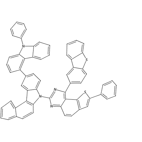 c1ccc(-c2cc3ccc4nc(-n5c6ccc(-c7cccc8c7c7ccccc7n8-c7ccccc7)cc6c6c7ccccc7ccc65)nc(-c5ccc6sc7ccccc7c6c5)c4c3s2)cc1